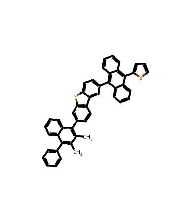 Cc1c(C)c(-c2ccc3c(c2)sc2ccc(-c4c5ccccc5c(-c5cccs5)c5ccccc45)cc23)c2ccccc2c1-c1ccccc1